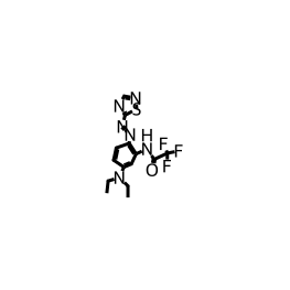 CCN(CC)c1ccc(N=Nc2ncns2)c(NC(=O)C(F)(F)F)c1